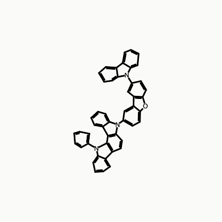 c1ccc(-n2c3ccccc3c3ccc4c(c5ccccc5n4-c4ccc5oc6ccc(-n7c8ccccc8c8ccccc87)cc6c5c4)c32)cc1